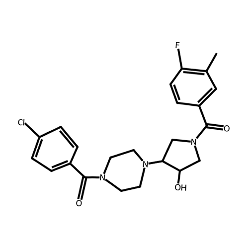 Cc1cc(C(=O)N2CC(O)C(N3CCN(C(=O)c4ccc(Cl)cc4)CC3)C2)ccc1F